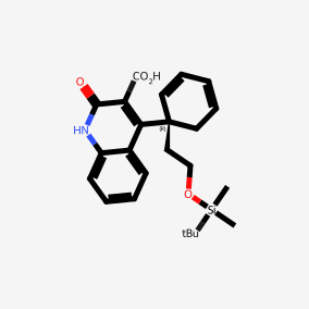 CC(C)(C)[Si](C)(C)OCC[C@@]1(c2c(C(=O)O)c(=O)[nH]c3ccccc23)C=CC=CC1